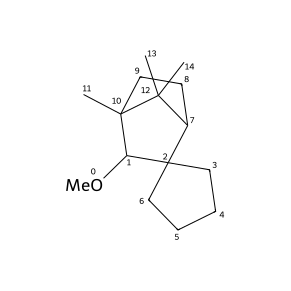 COC1C2(CCCC2)C2CCC1(C)C2(C)C